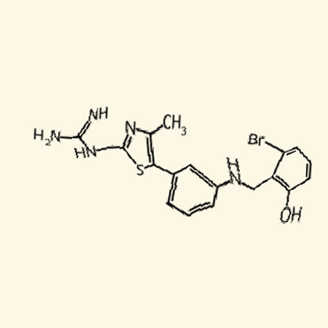 Cc1nc(NC(=N)N)sc1-c1cccc(NCc2c(O)cccc2Br)c1